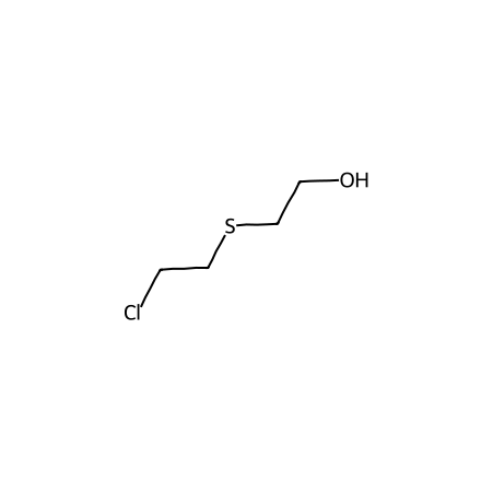 OCCSCCCl